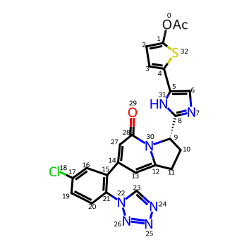 CC(=O)Oc1ccc(-c2cnc([C@@H]3CCc4cc(-c5cc(Cl)ccc5-n5cnnn5)cc(=O)n43)[nH]2)s1